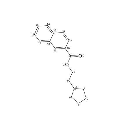 O=C(OCCN1CCCC1)c1ccc2ccccc2c1